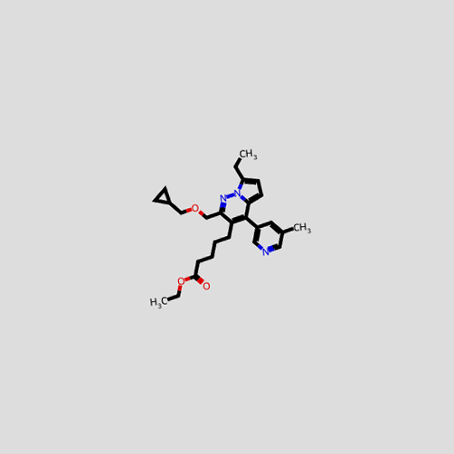 CCOC(=O)CCCCc1c(COCC2CC2)nn2c(CC)ccc2c1-c1cncc(C)c1